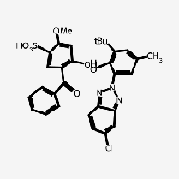 COc1cc(O)c(C(=O)c2ccccc2)cc1S(=O)(=O)O.Cc1cc(-n2nc3ccc(Cl)cc3n2)c(O)c(C(C)(C)C)c1